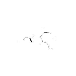 N[C@@H](C=O)[C@@H](OC(=O)CO)[C@H](O)[C@H](O)CO